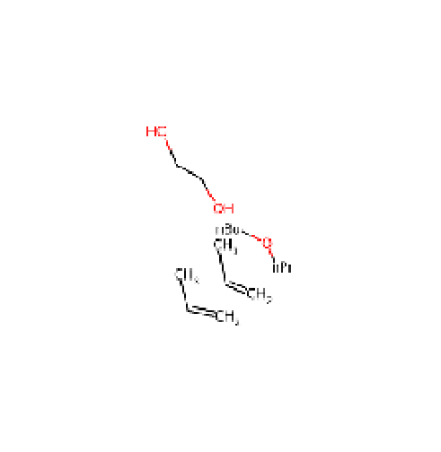 C=CC.C=CC.CCCCOCCC.OCCO